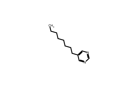 CCCCCCCCc1cncnc1